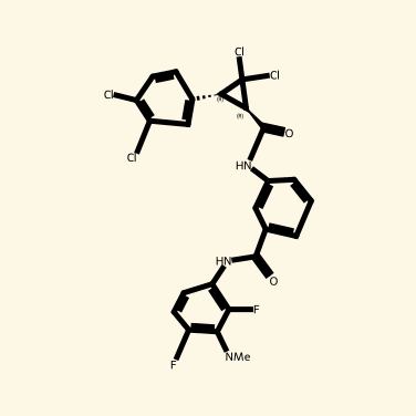 CNc1c(F)ccc(NC(=O)c2cccc(NC(=O)[C@H]3[C@H](c4ccc(Cl)c(Cl)c4)C3(Cl)Cl)c2)c1F